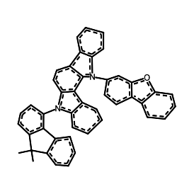 CC1(C)c2ccccc2-c2c(-n3c4ccccc4c4c3ccc3c5ccccc5n(-c5ccc6c(c5)oc5ccccc56)c34)cccc21